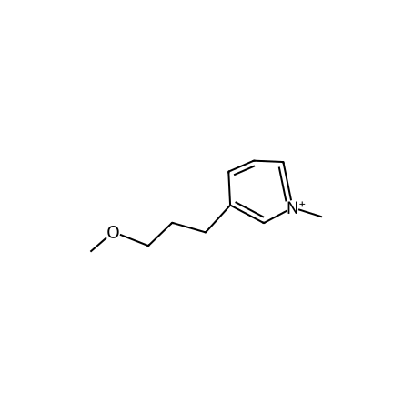 COCCCc1ccc[n+](C)c1